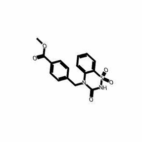 COC(=O)c1ccc(CN2C(=O)NS(=O)(=O)c3ccccc32)cc1